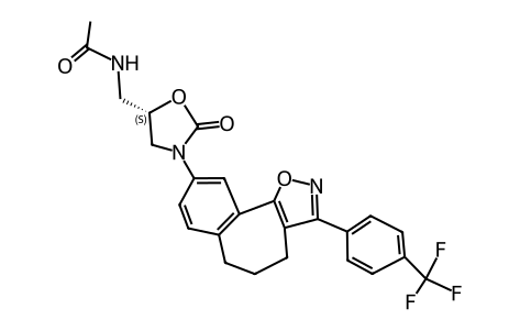 CC(=O)NC[C@H]1CN(c2ccc3c(c2)-c2onc(-c4ccc(C(F)(F)F)cc4)c2CCC3)C(=O)O1